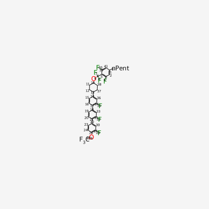 CCCCCc1cc(F)c(C(F)(F)OC2CCC(c3ccc(-c4ccc(-c5ccc(OC(F)(F)F)c(F)c5)c(F)c4)c(F)c3)CC2)c(F)c1